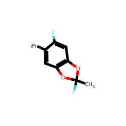 CC(C)c1cc2c(cc1F)OC(C)(F)O2